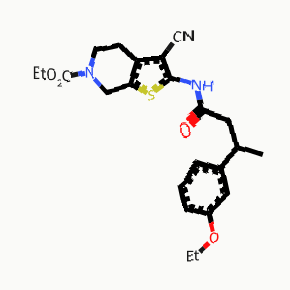 CCOC(=O)N1CCc2c(sc(NC(=O)CC(C)c3cccc(OCC)c3)c2C#N)C1